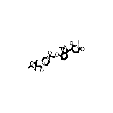 Cc1nc(C(=O)N2CCN(C(=O)COc3cccc4c(C5CCC(=O)NC5=O)nn(C)c34)CC2)c(C)o1